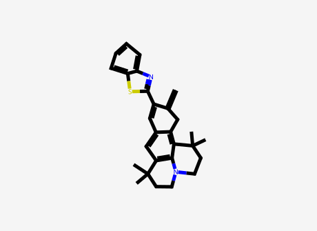 C=C1Cc2c(cc3c4c2C(C)(C)CCN4CCC3(C)C)C=C1c1nc2ccccc2s1